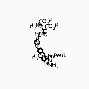 CCCCCNc1nc(N)nc2ccn(Cc3ccc(CN4CCN(CCNC(=O)C(CC(=O)O)SC[C@H](N)C(=O)O)CC4)cc3C)c12